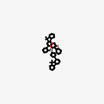 CC1(C)c2ccccc2-c2ccc(-c3ccccc3N(c3ccc(-c4cccc5c4C(C)(C)c4ccccc4-5)cc3)c3cccc4sc5ccccc5c34)cc21